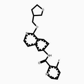 O=C(Nc1ccc2c(OCC3CCOC3)nccc2c1)c1ncccc1F